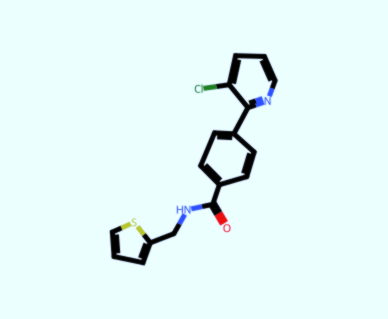 O=C(NCc1cccs1)c1ccc(-c2ncccc2Cl)cc1